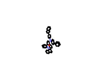 C1=CCCC(C2=CC=C(N(C3=CCC(C4=CC5=CCCCC5C=C4)CC3)C3C=CC(c4ccccc4N4C5C=CC=CC5C5C=CC6=CCCC=C6C54)CC3)CC2)=C1